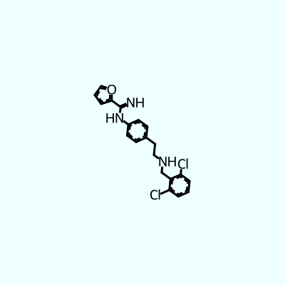 N=C(Nc1ccc(CCNCc2c(Cl)cccc2Cl)cc1)c1ccco1